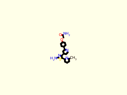 Cc1cccc(-c2sc(N)nc2-c2ccnc(-c3ccc(OCC(N)=O)cc3)c2)n1